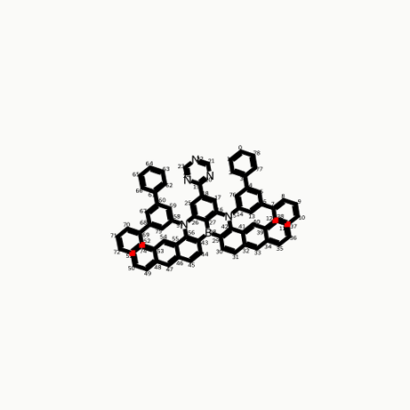 c1ccc(-c2cc(-c3ccccc3)cc(N3c4cc(-c5ncncn5)cc5c4B(c4ccc6cc7ccccc7cc6c43)c3ccc4cc6ccccc6cc4c3N5c3cc(-c4ccccc4)cc(-c4ccccc4)c3)c2)cc1